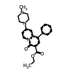 CCOC(=O)c1cc(-c2ccccc2)c2cc(N3CCN(C)CC3)ccn2c1=O